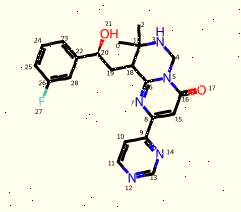 CC1(C)NCn2c(nc(-c3ccncn3)cc2=O)C1C[C@H](O)c1cccc(F)c1